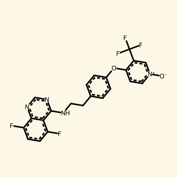 [O-][n+]1ccc(Oc2ccc(CCNc3ncnc4c(F)ccc(F)c34)cc2)c(C(F)(F)F)c1